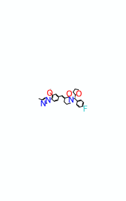 COc1cc(C=C2CCCN([C@H](c3ccc(F)cc3)C3CCCO3)C2=O)ccc1-n1cnc(C)c1